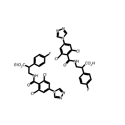 CCOC(=O)C(CNC(=O)c1c(Cl)cc(-n2cnnc2)cc1Cl)c1ccc(F)cc1.O=C(NCC(C(=O)O)c1ccc(F)cc1)c1c(Cl)cc(-n2cnnc2)cc1Cl